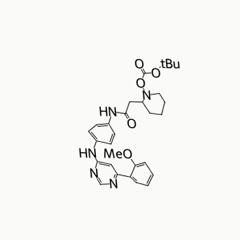 COc1ccccc1-c1cc(Nc2ccc(NC(=O)CC3CCCCN3OC(=O)OC(C)(C)C)cc2)ncn1